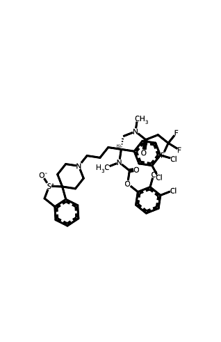 CN(C[C@](CCCN1CCC2(CC1)c1ccccc1C[S+]2[O-])(c1ccc(Cl)c(Cl)c1)N(C)C(=O)Oc1cccc(Cl)c1Cl)C(=O)CC(F)(F)F